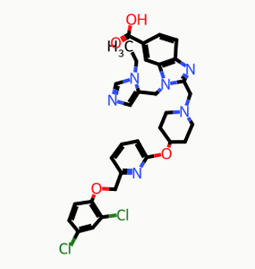 CCn1cncc1Cn1c(CN2CCC(Oc3cccc(COc4ccc(Cl)cc4Cl)n3)CC2)nc2ccc(C(=O)O)cc21